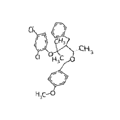 COc1ccc(CO[C@@H](C)[C@H](Cc2ccccc2)C(C)(C)Oc2ccc(Cl)cc2Cl)cc1